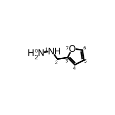 NNCc1ccco1